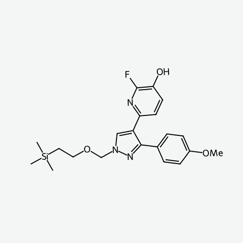 COc1ccc(-c2nn(COCC[Si](C)(C)C)cc2-c2ccc(O)c(F)n2)cc1